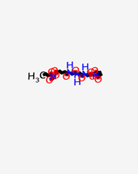 CCCC(=O)N(C=O)OC(=O)CCCC(=O)NCC(=O)NCC(=O)NCC(=O)ON1C(=O)CCC1=O